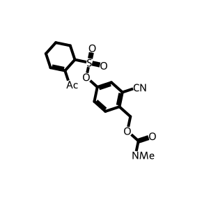 CNC(=O)OCc1ccc(OS(=O)(=O)C2CCCC=C2C(C)=O)cc1C#N